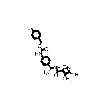 Cc1noc(C(=O)N[C@@H](C)c2ccc(NC(=O)OCc3ccc(Cl)cc3)cc2)c1C